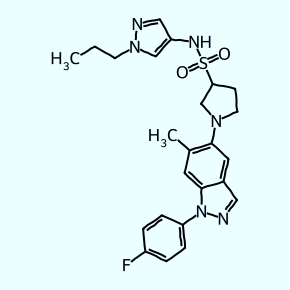 CCCn1cc(NS(=O)(=O)C2CCN(c3cc4cnn(-c5ccc(F)cc5)c4cc3C)C2)cn1